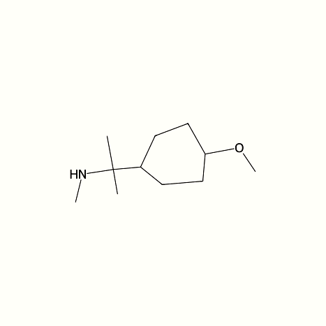 CNC(C)(C)C1CCC(OC)CC1